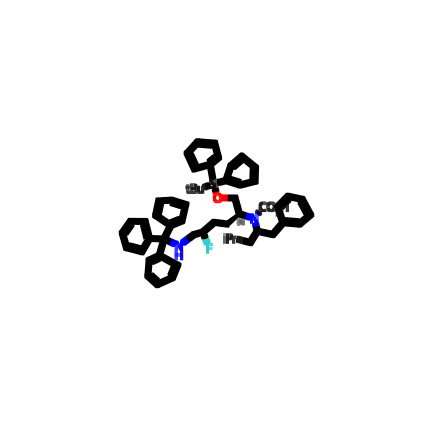 CC(C)CC(Cc1ccccc1)N(C(=O)O)[C@@H](CCC(F)CNC(c1ccccc1)(c1ccccc1)c1ccccc1)CO[Si](c1ccccc1)(c1ccccc1)C(C)(C)C